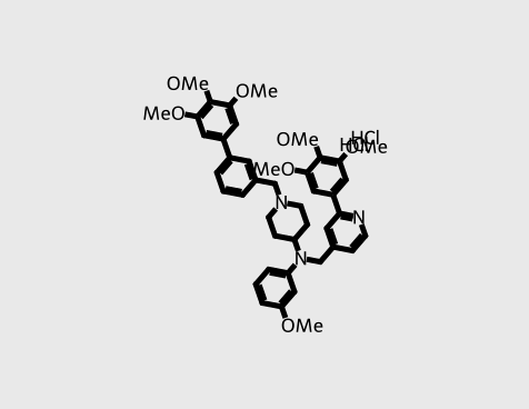 COc1cccc(N(Cc2ccnc(-c3cc(OC)c(OC)c(OC)c3)c2)C2CCN(Cc3cccc(-c4cc(OC)c(OC)c(OC)c4)c3)CC2)c1.Cl.Cl